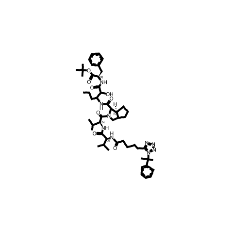 CCCC(NC(=O)C1[C@H]2CCCC2CN1C(=O)[C@@H](NC(=O)[C@@H](NC(=O)CCCCc1nnnn1C(C)(C)c1ccccc1)C(C)C)C(C)C)C(O)C(=O)N[C@H](Cc1ccccc1)C(=O)OC(C)(C)C